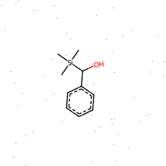 C[Si](C)(C)C(O)c1ccccc1